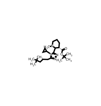 CN1CCC[C@H](C(=O)OC(C)(C)C)C1c1nnc(CCCC(C)(C)C)n1C1CC1